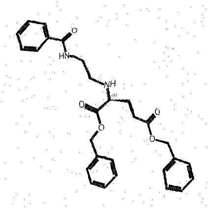 O=C(CC[C@H](NCCNC(=O)c1ccccc1)C(=O)OCc1ccccc1)OCc1ccccc1